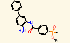 CCOP(C)(=O)c1ccc(C(=O)Nc2cc(-c3ccccc3)ccc2N)cc1